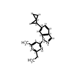 CCc1nc(C)cc(-n2ncc3ccc(C4CC45CC5)cc32)n1